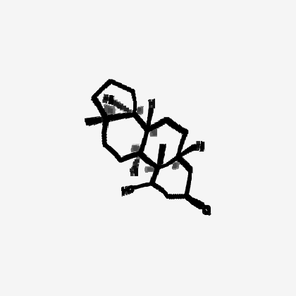 C[C@@]12CCC[C@H]1[C@@H]1CC[C@@H]3CC(=O)CC(O)[C@]3(C)[C@H]1CC2